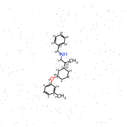 Cc1cccc(O[C@@H]2CCC[C@H](C(C)CNCc3ccccc3)C2)c1